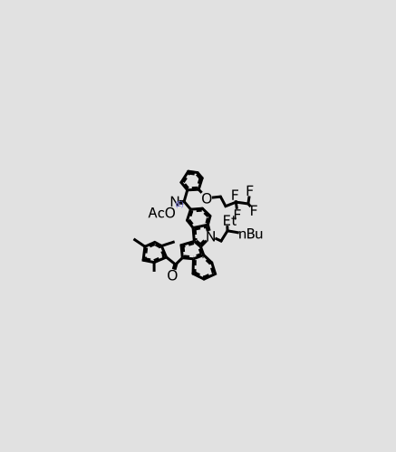 CCCCC(CC)Cn1c2ccc(/C(=N\OC(C)=O)c3ccccc3OCCC(F)(F)C(F)F)cc2c2cc(C(=O)c3c(C)cc(C)cc3C)c3ccccc3c21